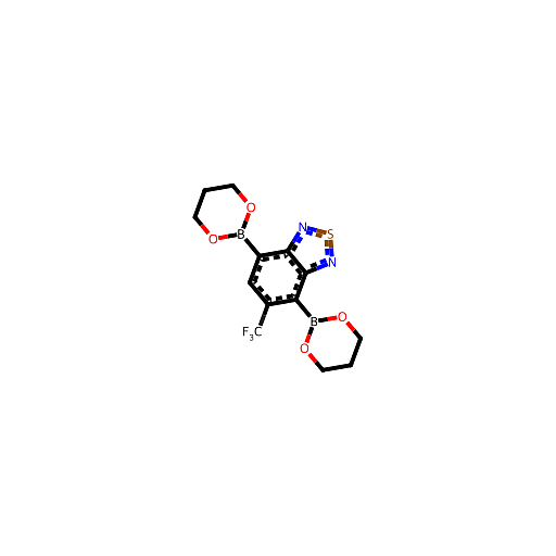 FC(F)(F)c1cc(B2OCCCO2)c2nsnc2c1B1OCCCO1